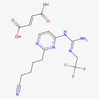 N#CCCCCc1nccc(NC(N)=NCC(F)(F)F)n1.O=C(O)C=CC(=O)O